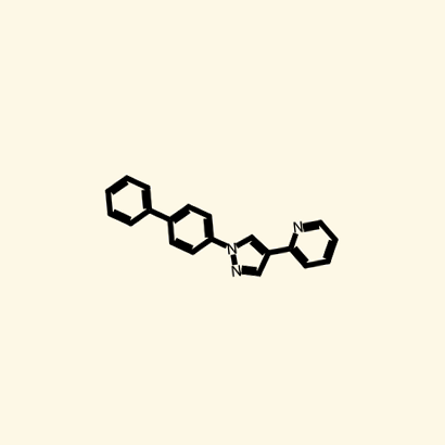 c1ccc(-c2ccc(-n3cc(-c4ccccn4)cn3)cc2)cc1